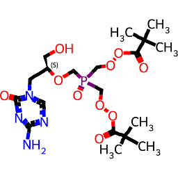 CC(C)(C)C(=O)OOCP(=O)(COOC(=O)C(C)(C)C)CO[C@H](CO)Cn1cnc(N)nc1=O